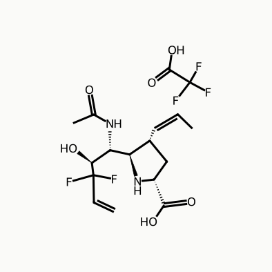 C=CC(F)(F)[C@@H](O)[C@H](NC(C)=O)[C@@H]1N[C@@H](C(=O)O)C[C@H]1/C=C\C.O=C(O)C(F)(F)F